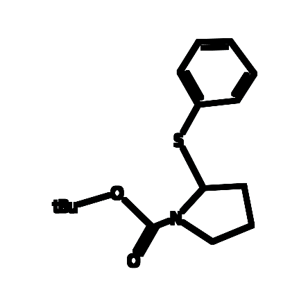 CC(C)(C)OC(=O)N1CCCC1Sc1ccccc1